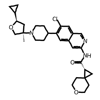 C[C@]1(N2CCC(c3cc4cc(NC(=O)[C@@H]5CC56CCOCC6)ncc4cc3Cl)CC2)CO[C@@H](C2CC2)C1